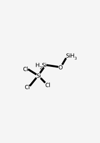 [SiH3]O[SiH2][Si](Cl)(Cl)Cl